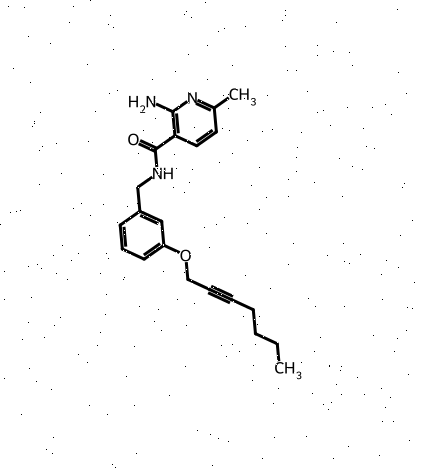 CCCCC#CCOc1cccc(CNC(=O)c2ccc(C)nc2N)c1